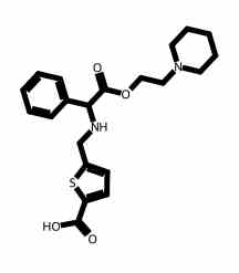 O=C(O)c1ccc(CNC(C(=O)OCCN2CCCCC2)c2ccccc2)s1